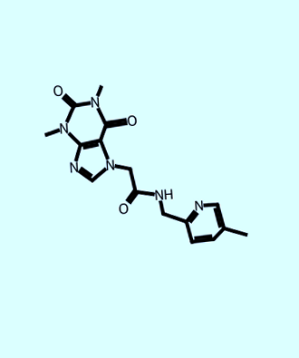 Cc1ccc(CNC(=O)Cn2cnc3c2c(=O)n(C)c(=O)n3C)nc1